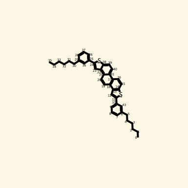 CCCCCCc1cccc(-c2cc3c(ccc4c3ccc3c5cc(-c6cccc(CCCCCC)c6)sc5ccc34)s2)c1